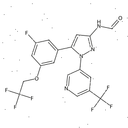 O=CNc1cc(-c2cc(F)cc(OCC(F)(F)F)c2)n(-c2cncc(C(F)(F)F)c2)n1